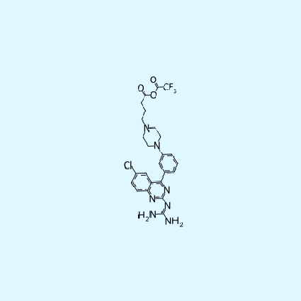 NC(N)=Nc1nc(-c2cccc(N3CCN(CCCC(=O)OC(=O)C(F)(F)F)CC3)c2)c2cc(Cl)ccc2n1